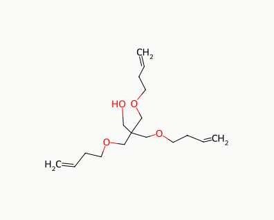 C=CCCOCC(CO)(COCCC=C)COCCC=C